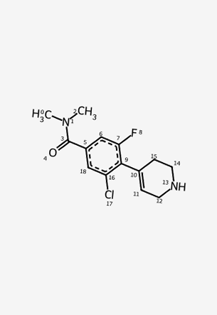 CN(C)C(=O)c1cc(F)c(C2=CCNCC2)c(Cl)c1